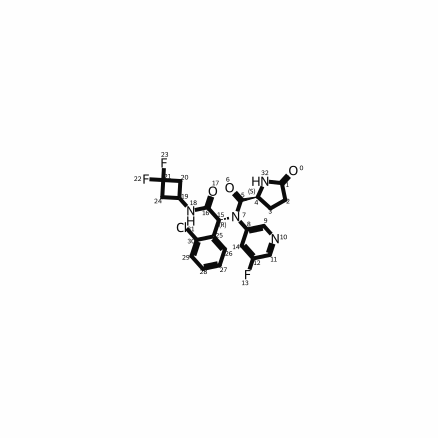 O=C1CC[C@@H](C(=O)N(c2cncc(F)c2)[C@@H](C(=O)NC2CC(F)(F)C2)c2ccccc2Cl)N1